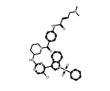 CN(C)CC=CC(=O)Nc1ccc(C(=O)N2CCCC(Nc3ncc(Cl)c(-c4cn(S(=O)(=O)c5ccccc5)c5ccccc45)n3)C2)cc1